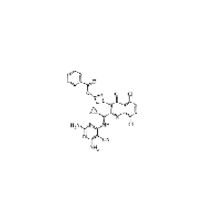 N#Cc1c(N)nc(N)nc1N[C@H](c1nc2c(Cl)ccc(Cl)c2c(=O)n1C1CC(OC(=O)c2ccccc2)C1)C1CC1